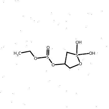 CCOS(=O)OC1COS(O)(O)C1